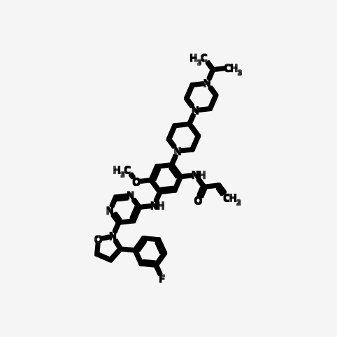 C=CC(=O)Nc1cc(Nc2cc(N3OCCC3c3cccc(F)c3)ncn2)c(OC)cc1N1CCC(N2CCN(C(C)C)CC2)CC1